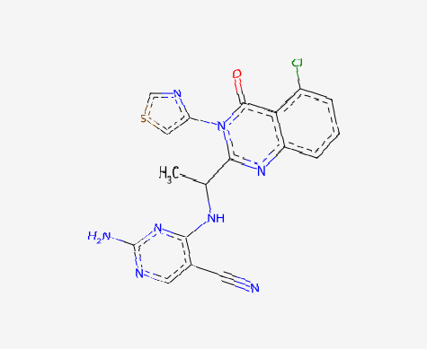 CC(Nc1nc(N)ncc1C#N)c1nc2cccc(Cl)c2c(=O)n1-c1cscn1